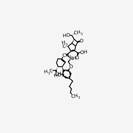 C=C(C)[C@@H]1CCC(C)=C[C@H]1c1c(O)cc(CCCCC)cc1OCNCC1=C(C(=O)O)C2C(=O)[C@H]([C@@H](C)O)C2[C@H]1C